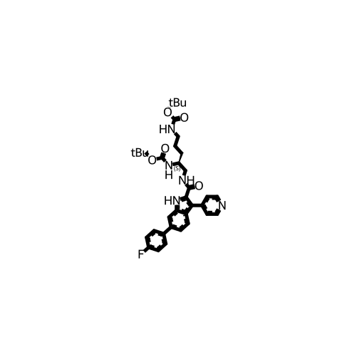 CC(C)(C)OC(=O)NCCC[C@@H](CNC(=O)c1[nH]c2cc(-c3ccc(F)cc3)ccc2c1-c1ccncc1)NC(=O)OC(C)(C)C